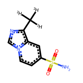 [2H]C([2H])([2H])c1ncn2ccc(S(N)(=O)=O)cc12